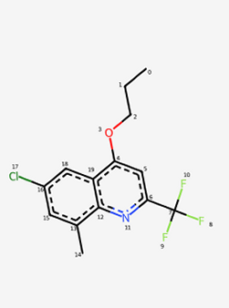 CCCOc1cc(C(F)(F)F)nc2c(C)cc(Cl)cc12